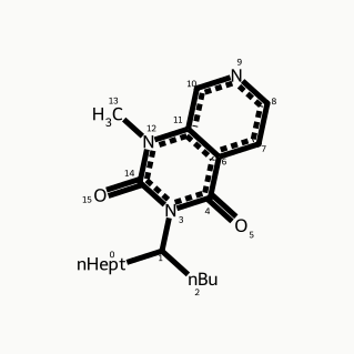 CCCCCCCC(CCCC)n1c(=O)c2ccncc2n(C)c1=O